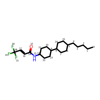 CCCCCC1CCC(C2CCC(NC(=O)/C=C/C(F)(F)F)CC2)CC1